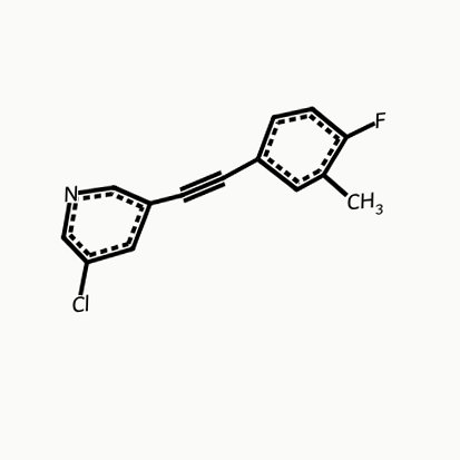 Cc1cc(C#Cc2cncc(Cl)c2)ccc1F